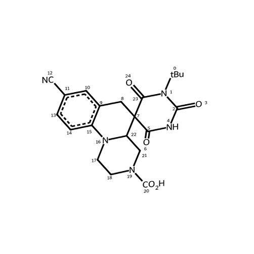 CC(C)(C)N1C(=O)NC(=O)C2(Cc3cc(C#N)ccc3N3CCN(C(=O)O)CC32)C1=O